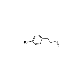 C=CC[CH]c1ccc(O)cc1